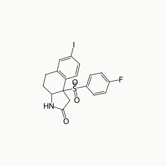 O=C1CC2(S(=O)(=O)c3ccc(F)cc3)c3ccc(I)cc3CCC2N1